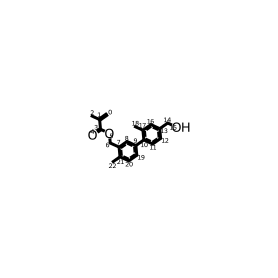 C=C(C)C(=O)OCc1cc(-c2ccc(CO)cc2C)ccc1C